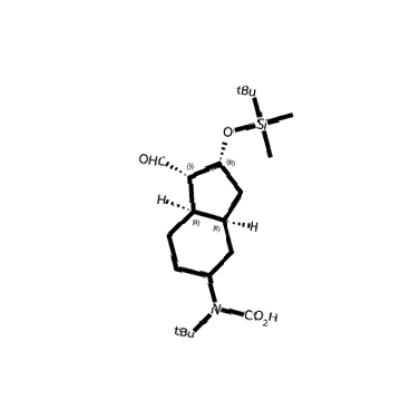 CC(C)(C)N(C(=O)O)C1CC[C@@H]2[C@H](C1)C[C@@H](O[Si](C)(C)C(C)(C)C)[C@H]2C=O